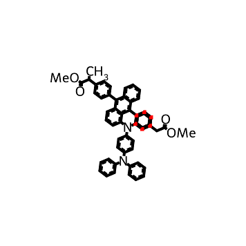 COC(=O)Cc1ccc(-c2c3ccccc3c(-c3ccc(C(C)C(=O)OC)cc3)c3cccc(N(c4ccccc4)c4ccc(N(c5ccccc5)c5ccccc5)cc4)c23)cc1